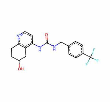 O=C(NCc1ccc(C(F)(F)F)cc1)Nc1ccnc2c1CC(O)CC2